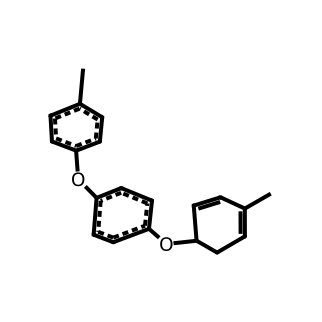 CC1=CCC(Oc2ccc(Oc3ccc(C)cc3)cc2)C=C1